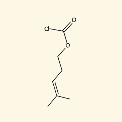 CC(C)=CCCOC(=O)Cl